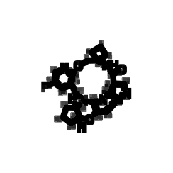 O=C1NC2(CCC2)COc2ncc(F)cc2CN2c3nc4c1cnn4cc3O[C@H]1CCC[C@H]12